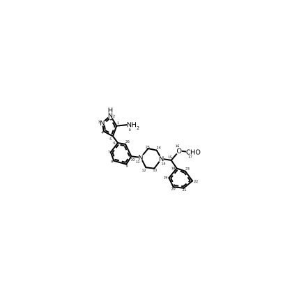 Nc1[nH]ncc1-c1cccc(N2CCN(C(OC=O)c3ccccc3)CC2)c1